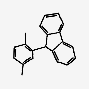 Cc1ccc(C)c(C2c3ccccc3-c3ccccc32)c1